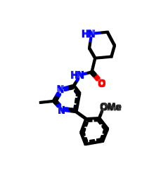 COc1ccccc1-c1cc(NC(=O)C2CCCNC2)nc(C)n1